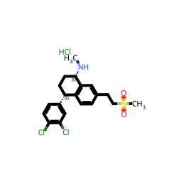 CN[C@H]1CC[C@@H](c2ccc(Cl)c(Cl)c2)c2ccc(CCS(C)(=O)=O)cc21.Cl